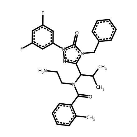 Cc1ccccc1C(=O)N(CCN)C(c1nn(-c2cc(F)cc(F)c2)c(=O)n1Cc1ccccc1)C(C)C